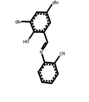 CC(C)(C)c1cc(/C=N/c2ccccc2C#N)c(O)c(C(C)(C)C)c1